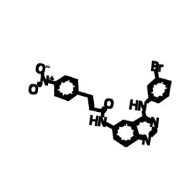 O=C(C=Cc1ccc([N+](=O)[O-])cc1)Nc1ccc2ncnc(Nc3cccc(Br)c3)c2c1